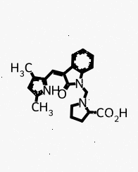 Cc1cc(C)c(/C=C2\C(=O)N(CN3CCCC3C(=O)O)c3ccccc32)[nH]1